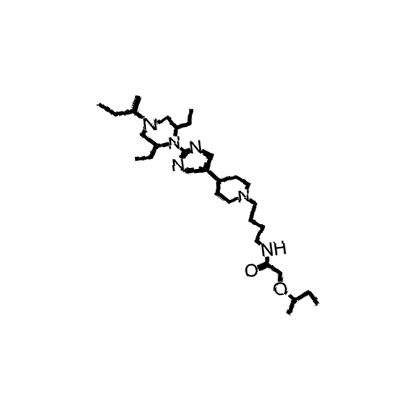 CCC(C)OCC(=O)NCCCCN1CCC(c2cnc(N3C(CC)CN(C(C)CC)CC3CC)nc2)CC1